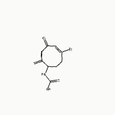 C=C1CC(=O)/C=C(/CC)CCC1NC(=O)CCC